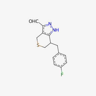 O=Cc1n[nH]c2c1CSCC2Cc1ccc(F)cc1